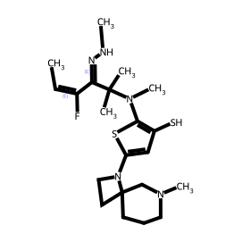 C/C=C(F)\C(=N\NC)C(C)(C)N(C)c1sc(N2CCC23CCCN(C)C3)cc1S